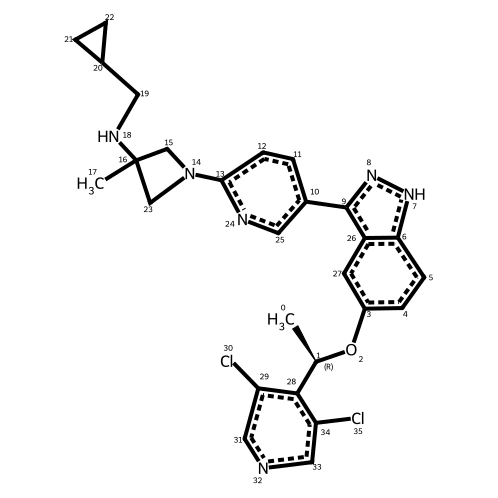 C[C@@H](Oc1ccc2[nH]nc(-c3ccc(N4CC(C)(NCC5CC5)C4)nc3)c2c1)c1c(Cl)cncc1Cl